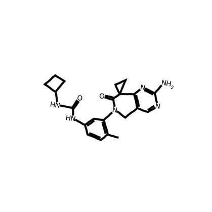 Cc1ccc(NC(=O)NC2CCC2)cc1N1Cc2cnc(N)nc2C2(CC2)C1=O